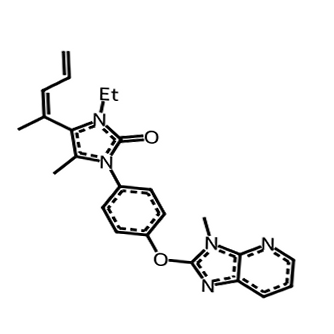 C=C/C=C(/C)c1c(C)n(-c2ccc(Oc3nc4cccnc4n3C)cc2)c(=O)n1CC